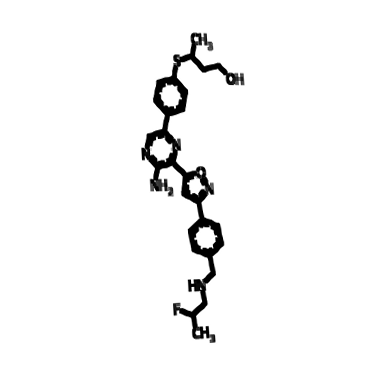 CC(F)CNCc1ccc(-c2cc(-c3nc(-c4ccc(SC(C)CCO)cc4)cnc3N)on2)cc1